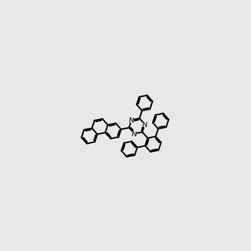 c1ccc(-c2nc(-c3ccc4c(ccc5ccccc54)c3)nc(-c3c(-c4ccccc4)cccc3-c3ccccc3)n2)cc1